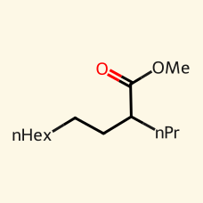 CCCCCCCCC(CCC)C(=O)OC